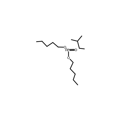 CCC(C)C.CCCCCO[PH](=O)OCCCCC